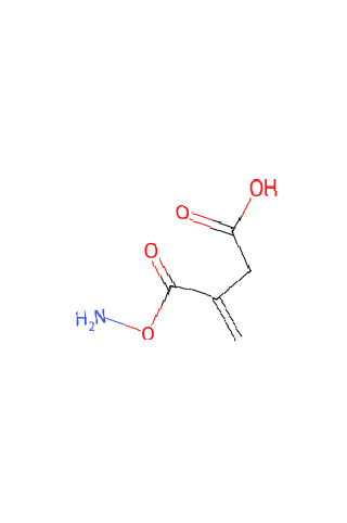 C=C(CC(=O)O)C(=O)ON